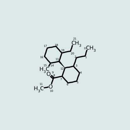 CCCC1CCCC(C(=O)OC)[C@H]1C1C(C)CCCC1CC